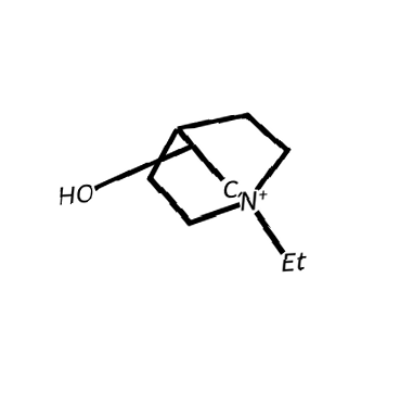 CC[N+]12CCC(CC1)C(O)C2